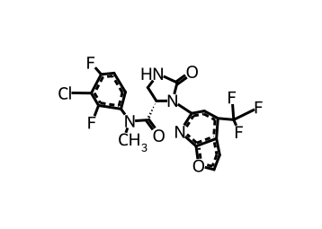 CN(C(=O)[C@@H]1CNC(=O)N1c1cc(C(F)(F)F)c2ccoc2n1)c1ccc(F)c(Cl)c1F